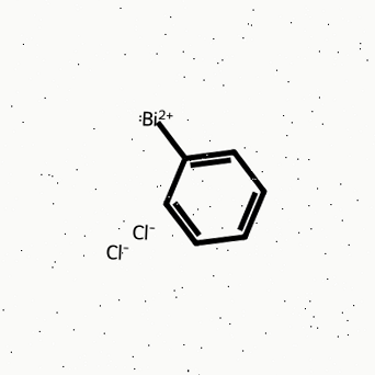 [Bi+2][c]1ccccc1.[Cl-].[Cl-]